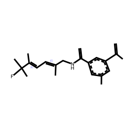 C=C(C)c1cc(C)cc(C(=C)NC/C(C)=C/C=C(\C)C(C)(C)F)c1